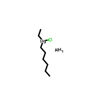 CCCCC[CH2][Hg]([Cl])[CH2]C.[AlH3]